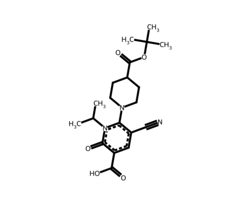 CC(C)n1c(N2CCC(C(=O)OC(C)(C)C)CC2)c(C#N)cc(C(=O)O)c1=O